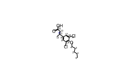 CCCCCOc1c(Cl)cc(/C(C)=C/C(=O)O)cc1Cl